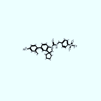 CCS(=O)(=O)c1ccc(CNC(=O)N2CC3(CCCC3)c3cc(-c4ccc(C#N)cc4C)ccc32)cc1